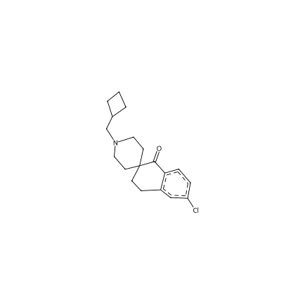 O=C1c2ccc(Cl)cc2CCC12CCN(CC1CCC1)CC2